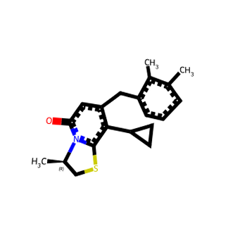 Cc1cccc(Cc2cc(=O)n3c(c2C2CC2)SC[C@H]3C)c1C